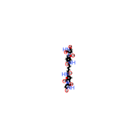 O=C1CCC(N2Cc3ccc(NC(=O)CCCCC(=O)Nc4ccc5c(c4)C(=O)N(C4CCC(=O)NC4=O)C5)cc3C2=O)C(=O)N1